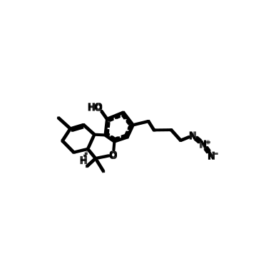 CC1=CC2c3c(O)cc(CCCCN=[N+]=[N-])cc3OC(C)(C)[C@H]2CC1